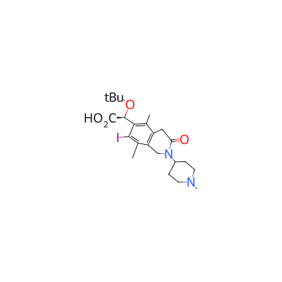 Cc1c(I)c([C@H](OC(C)(C)C)C(=O)O)c(C)c2c1CN(C1CCN(C)CC1)C(=O)C2